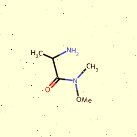 CON(C)C(=O)C(C)N